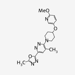 COc1ccc(OC2CCN(c3nnc(-c4nnc(C)o4)cc3C)CC2)cn1